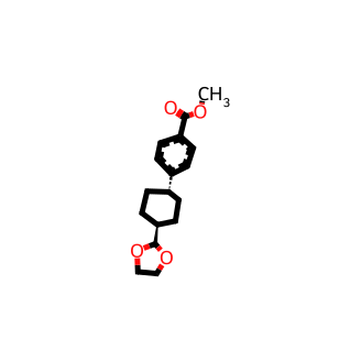 COC(=O)c1ccc([C@H]2CC[C@H](C3OCCO3)CC2)cc1